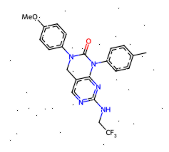 COc1ccc(N2Cc3cnc(NCC(F)(F)F)nc3N(c3ccc(C)cc3)C2=O)cc1